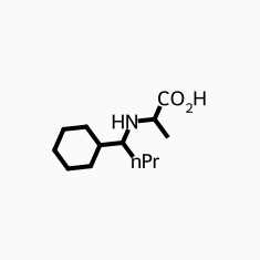 CCCC(NC(C)C(=O)O)C1CCCCC1